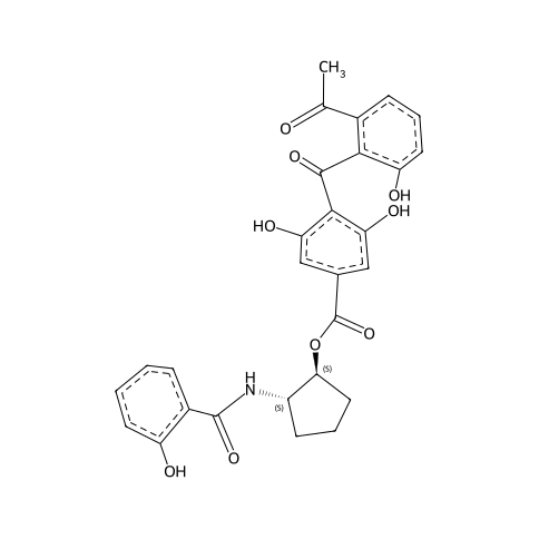 CC(=O)c1cccc(O)c1C(=O)c1c(O)cc(C(=O)O[C@H]2CCC[C@@H]2NC(=O)c2ccccc2O)cc1O